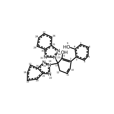 OC1=C(c2ccccc2O)C=CCC1(n1nc2ccccc2n1)n1nc2ccccc2n1